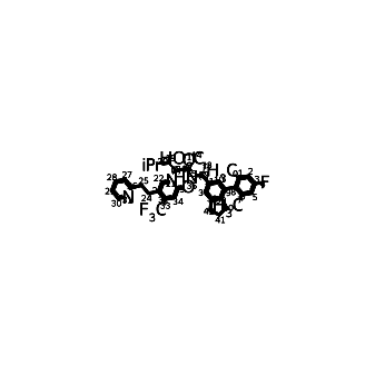 Cc1cc(F)cc(C)c1-c1cc([C@@H](CC(=O)O)NC(=O)[C@H](CC(C)C)n2cc(CCc3ccccn3)c(C(F)(F)F)cc2=O)cc2c1CCC2